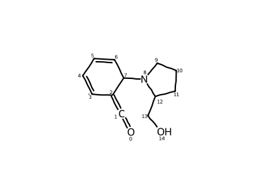 O=C=C1[C]=CC=CC1N1CCCC1CO